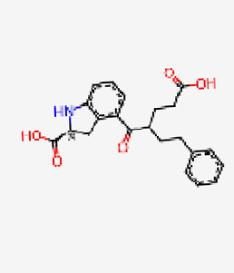 O=C(O)CCC(CCc1ccccc1)C(=O)c1cccc2c1C[C@@H](C(=O)O)N2